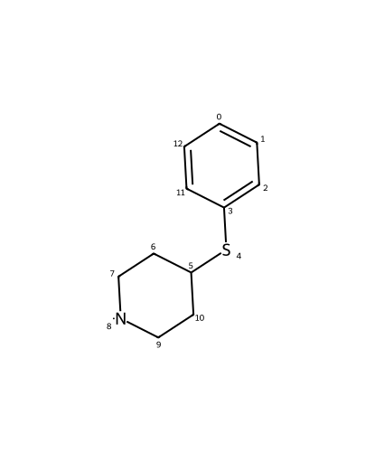 c1ccc(SC2CC[N]CC2)cc1